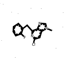 Cn1cnc2c(Cc3ccccc3F)nc(Cl)cc21